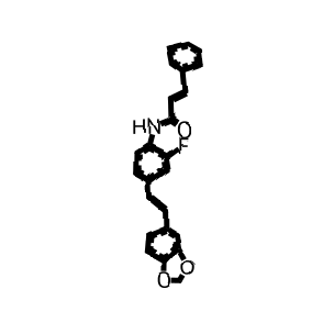 O=C(/C=C/c1ccccc1)Nc1ccc(/C=C/c2ccc3c(c2)OCO3)cc1F